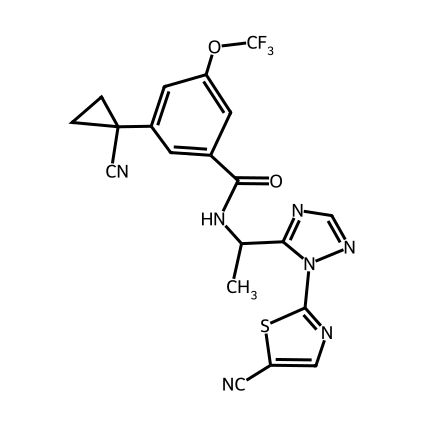 CC(NC(=O)c1cc(OC(F)(F)F)cc(C2(C#N)CC2)c1)c1ncnn1-c1ncc(C#N)s1